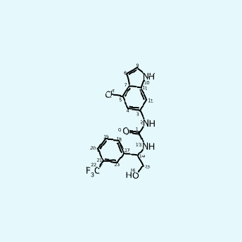 O=C(Nc1cc(Cl)c2cc[nH]c2c1)NC(CO)c1cccc(C(F)(F)F)c1